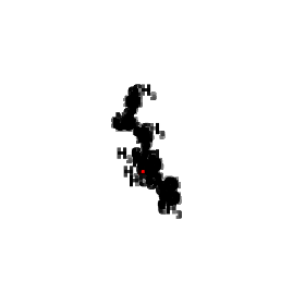 CCCC[Si](OCCCc1c(C(=O)O)n(C)c2c(-c3c(C)nn(C)c3CSCc3cc(CSc4cc(OCc5ccc(OC)cc5)c5ncccc5c4)n(C)n3)c(Cl)ccc12)(c1ccccc1)c1ccccc1